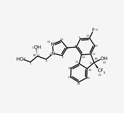 OC[C@H](O)Cn1cc(-c2cc(F)cc3c2-c2ccccc2[C@]3(O)C(F)(F)F)cn1